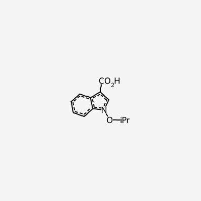 CC(C)On1cc(C(=O)O)c2ccccc21